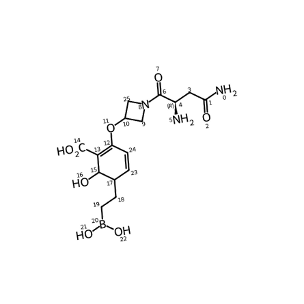 NC(=O)C[C@@H](N)C(=O)N1CC(OC2=C(C(=O)O)C(O)C(CCB(O)O)C=C2)C1